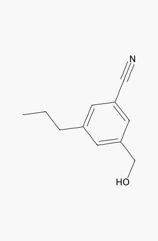 CCCc1cc(C#N)cc(CO)c1